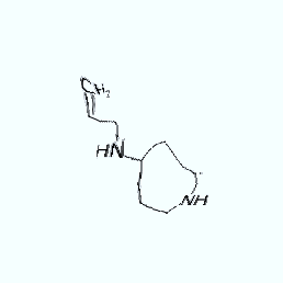 C=CCNC1C[CH]NCC1